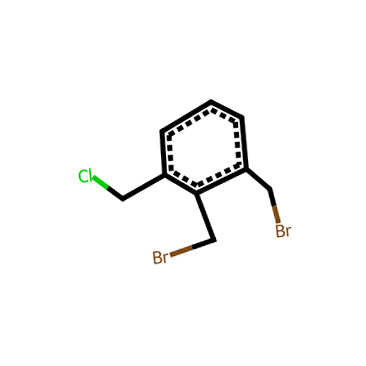 ClCc1cccc(CBr)c1CBr